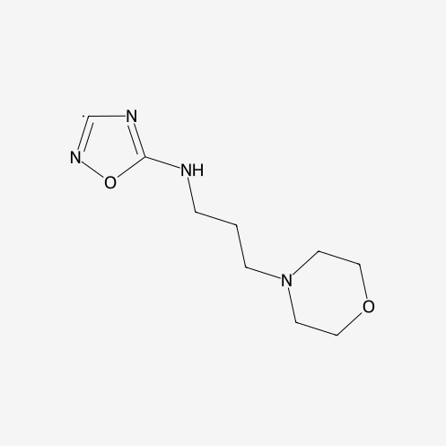 [c]1noc(NCCCN2CCOCC2)n1